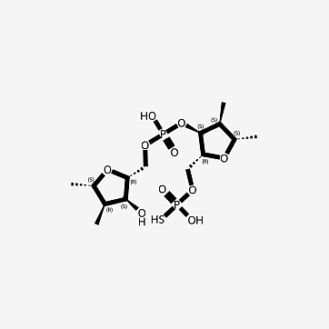 C[C@@H]1[C@H](O)[C@@H](COP(=O)(O)O[C@H]2[C@@H](C)[C@H](C)O[C@@H]2COP(=O)(O)S)O[C@H]1C